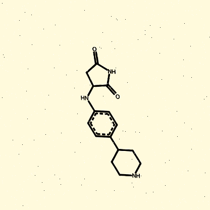 O=C1CC(Nc2ccc(C3CCNCC3)cc2)C(=O)N1